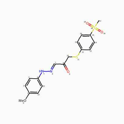 COc1ccc(NN=CC(=O)CSc2ccc(S(C)(=O)=O)cc2)cc1